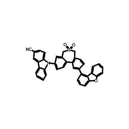 N#Cc1ccc2c(c1)c1ccccc1n2-c1ccc2c(c1)CS(=O)(=O)Cc1ccc(-c3cccc4oc5ccccc5c34)cc1-2